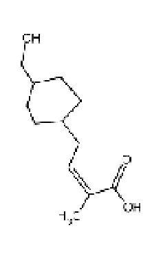 CC(=CCC1CCC(CO)CC1)C(=O)O